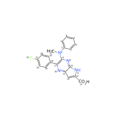 CN(c1ccccc1)c1nc2[nH]c(C(=O)O)cc2nc1-c1ccc(F)cc1